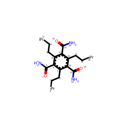 CC(C)CCc1c(C(N)=O)c(CCC(C)C)c(C(N)=O)c(CCC(C)C)c1C(N)=O